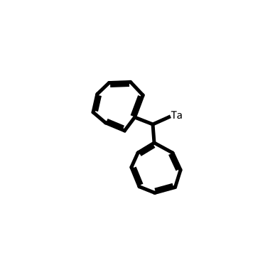 [Ta][CH](C1=CC=CC=CC=C1)C1=CC=CC=CC=C1